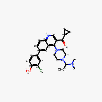 CN(C)C(C=O)N1CCN(c2c(C(=O)C3CC3)cnc3ccc(-c4ccc(O)c(Cl)c4)cc23)CC1